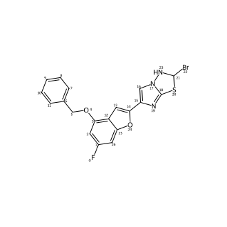 Fc1cc(OCc2ccccc2)c2cc(-c3cn4c(n3)SC(Br)N4)oc2c1